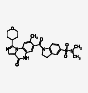 Cc1cc2c(cc1C(=O)N1CCc3cc(S(=O)(=O)N(C)C)ccc31)[nH]c(=O)c1cnc(C3CCOCC3)n12